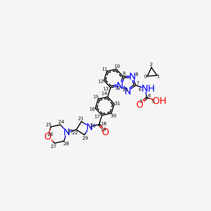 C1CC1.O=C(O)Nc1nc2cccc(-c3ccc(C(=O)N4CC(N5CCOCC5)C4)cc3)n2n1